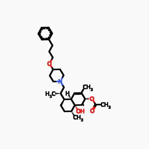 CC(=O)O[C@@H]1[C][C@@]2(O)[C@H](C)CC[C@@H]([C@H](C)CN3CCC(OCCCc4ccccc4)CC3)[C@H]2C=C1C